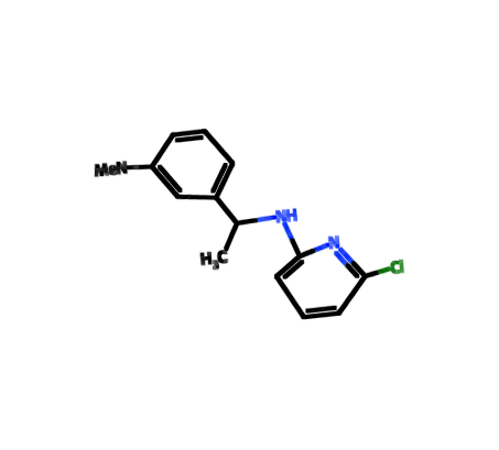 CNc1cccc(C(C)Nc2cccc(Cl)n2)c1